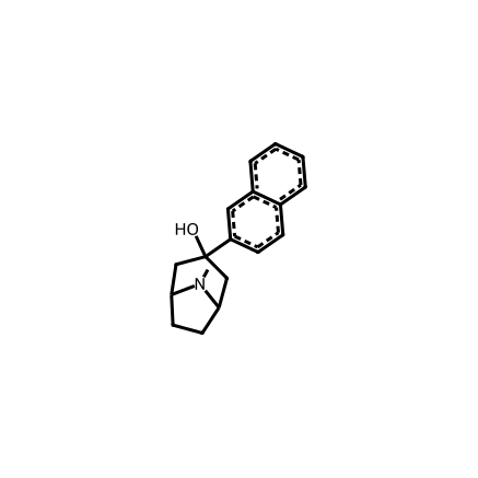 CN1C2CCC1CC(O)(c1ccc3ccccc3c1)C2